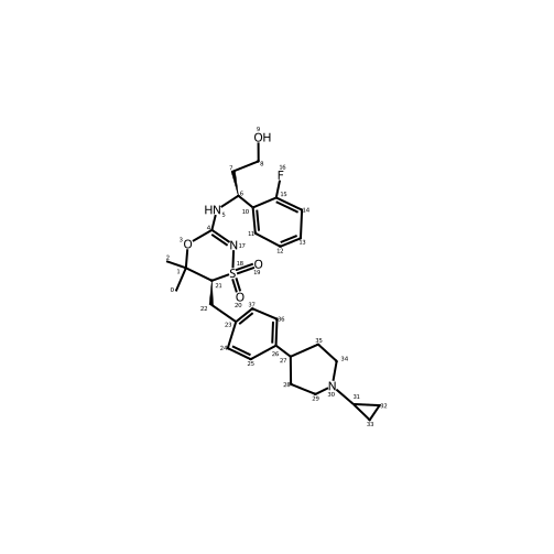 CC1(C)OC(N[C@@H](CCO)c2ccccc2F)=NS(=O)(=O)[C@H]1Cc1ccc(C2CCN(C3CC3)CC2)cc1